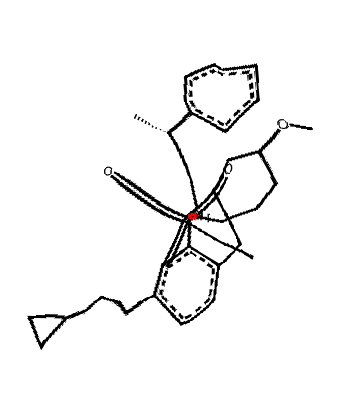 COC1CCC2(CC1)Cc1ccc(CCC3CC3)cc1C21NC(=O)N([C@H](C)c2ccccc2)C1=O